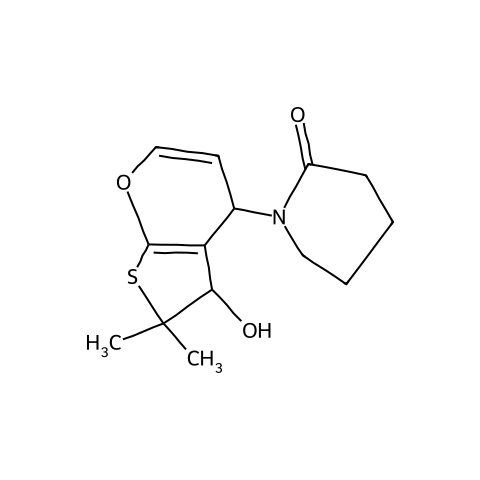 CC1(C)SC2=C(C(N3CCCCC3=O)C=CO2)C1O